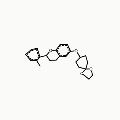 Cc1ccccc1C1CCc2cc(OC3CCC4(CC3)OCCO4)ccc2O1